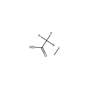 CI.O=C(O)C(F)(F)F